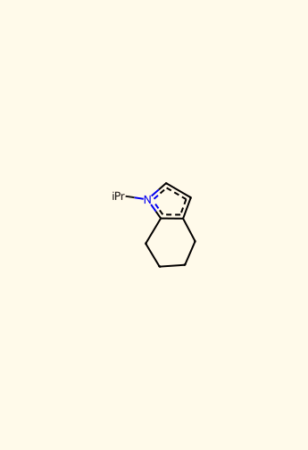 CC(C)n1ccc2c1CCCC2